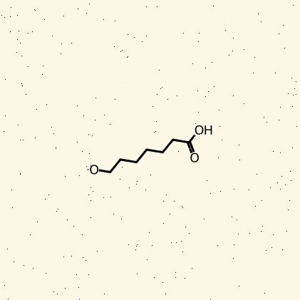 [O]CCCCCCC(=O)O